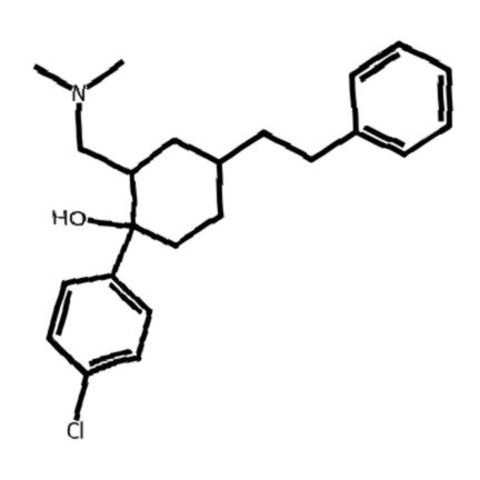 CN(C)CC1CC(CCc2ccccc2)CCC1(O)c1ccc(Cl)cc1